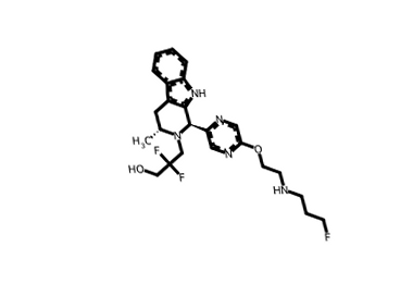 C[C@@H]1Cc2c([nH]c3ccccc23)[C@@H](c2cnc(OCCNCCCF)cn2)N1CC(F)(F)CO